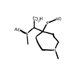 CC(=O)N(C)C(C(=O)O)C1(SN=O)CCN(C)CC1